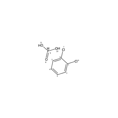 Clc1ccccc1Cl.O=[PH](O)O